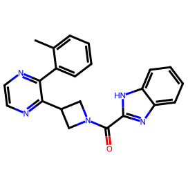 Cc1ccccc1-c1nccnc1C1CN(C(=O)c2nc3ccccc3[nH]2)C1